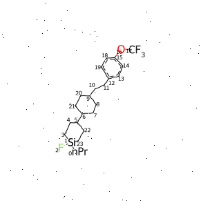 CCC[Si]1(F)CCC(C2CCC(CCc3ccc(OC(F)(F)F)cc3)CC2)CC1